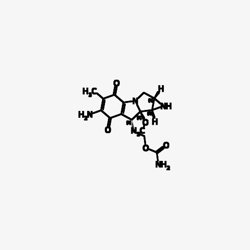 CO[C@@]12[C@H](CCOC(N)=O)C3=C(C(=O)C(C)=C(N)C3=O)N1C[C@@H]1N[C@@H]12